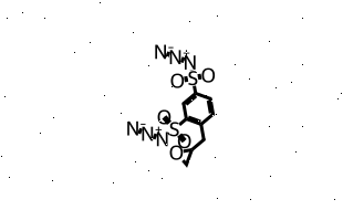 [N-]=[N+]=NS(=O)(=O)c1ccc(CC2CO2)c(S(=O)(=O)N=[N+]=[N-])c1